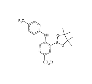 CCOC(=O)c1ccc(Nc2ccc(C(F)(F)F)cc2)c(B2OC(C)(C)C(C)(C)O2)c1